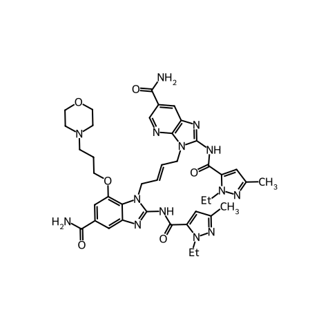 CCn1nc(C)cc1C(=O)Nc1nc2cc(C(N)=O)cnc2n1CC=CCn1c(NC(=O)c2cc(C)nn2CC)nc2cc(C(N)=O)cc(OCCCN3CCOCC3)c21